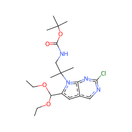 CCOC(OCC)c1cc2cnc(Cl)nc2n1C(C)(C)CNC(=O)OC(C)(C)C